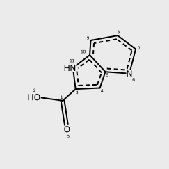 O=C(O)c1cc2ncccc2[nH]1